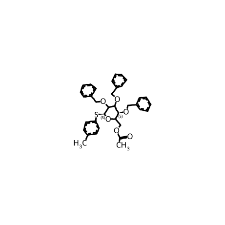 CC(=O)OCC1O[C@@H](Sc2ccc(C)cc2)C(OCc2ccccc2)C(OCc2ccccc2)[C@H]1OCc1ccccc1